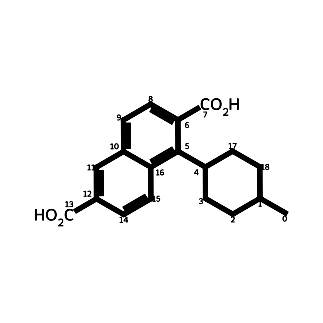 CC1CCC(c2c(C(=O)O)ccc3cc(C(=O)O)ccc23)CC1